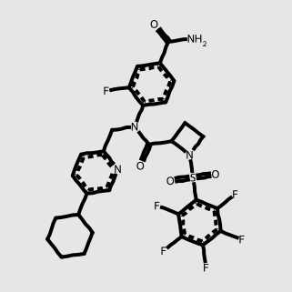 NC(=O)c1ccc(N(Cc2ccc(C3CCCCC3)cn2)C(=O)C2CCN2S(=O)(=O)c2c(F)c(F)c(F)c(F)c2F)c(F)c1